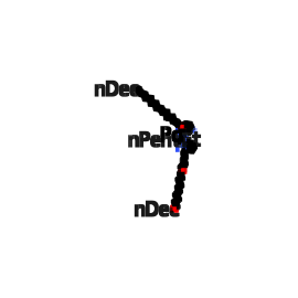 CCCCCCCCCCCCCCCCCCCCCC=CCCCc1ccccc1N=C(CCCCC)C(CC)=[N+]([Pd])c1ccccc1CCCC=CCCCCCCCCCCCCCCCCCCCCC